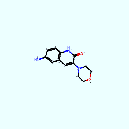 [NH]c1ccc2[nH]c(=O)c(N3CCOCC3)cc2c1